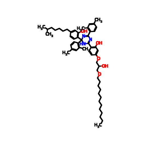 CCCCCCCCCCCCCOCC(O)COc1ccc(C2=NC(c3ccc(C)cc3C)=NC(c3ccc(C)cc3C)(c3ccc(CCCCCC(C)C)cc3O)N2)c(O)c1